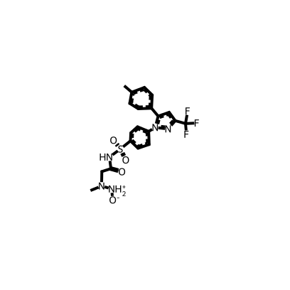 Cc1ccc(-c2cc(C(F)(F)F)nn2-c2ccc(S(=O)(=O)NC(=O)CN(C)[NH2+][O-])cc2)cc1